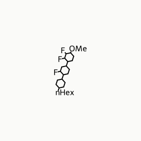 CCCCCCC1CCC(C2CCC(C3CCC(OC)C(F)C3F)CC2F)CC1